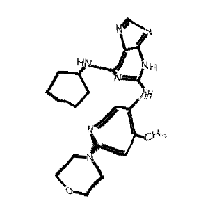 Cc1cc(N2CCOCC2)ncc1Nc1nc(NC2CCCCC2)c2ncnc-2[nH]1